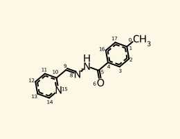 Cc1ccc(C(=O)N/N=C/c2ccccn2)cc1